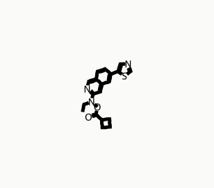 CCN(OC(=O)C1CCC1)c1cc2cc(-c3cncs3)ccc2cn1